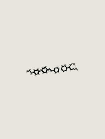 CCC(OC)[C@H]1CC[C@H](C2CCC(CCc3ccc(-c4ccc(CCF)cc4)cc3)CC2)CC1